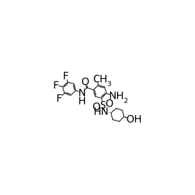 Cc1cc(N)c(S(=O)(=O)N[C@H]2CC[C@H](O)CC2)cc1C(=O)Nc1cc(F)c(F)c(F)c1